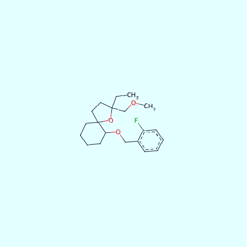 CCC1(COC)CCC2(CCCCC2OCc2ccccc2F)O1